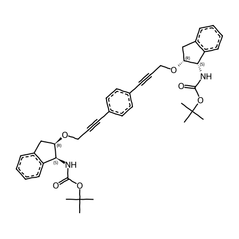 CC(C)(C)OC(=O)N[C@H]1c2ccccc2C[C@H]1OCC#Cc1ccc(C#CCO[C@@H]2Cc3ccccc3[C@@H]2NC(=O)OC(C)(C)C)cc1